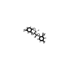 CC(C[C@@H](C)Oc1ccc(F)cc1Br)Oc1ccc(F)cc1Br